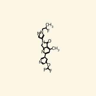 Cc1cc(-c2cncc(OC(F)F)c2)nc2c1C(=O)N(c1cnn(CC(C)F)c1)C2